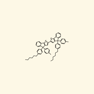 CCCCCCc1ccc(C2(c3ccc(C)cc3)c3ccccc3-c3sc(-c4cc5c(s4)-c4ccccc4C5(c4ccc(C)cc4)c4ccc(CCCCCC)cc4)cc32)cc1